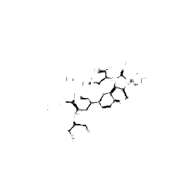 Cc1ncc(-c2ccc3ncc4c(c3c2)n(-c2cn(C)nc2C)c(=O)n4C)cc1OC(CF)CF